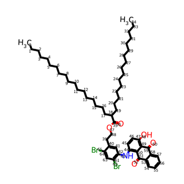 CCCCCCCCCCCCCCCCCCC(CCCCCCCCCCCCCCCC)C(=O)OCCc1cc(Nc2ccc(O)c3c2C(=O)c2ccccc2C3=O)c(Br)cc1Br